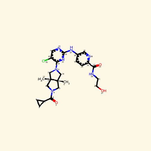 C[C@@]12CN(C(=O)C3CC3)C[C@]1(C)CN(c1nc(Nc3ccc(C(=O)NCCO)nc3)ncc1Cl)C2